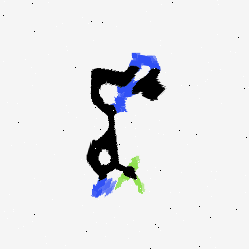 Cc1nnc2ccc(-c3ccc(N)c(C(F)(F)F)c3)nn12